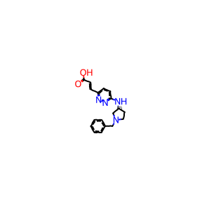 O=C(O)C=Cc1ccc(N[C@@H]2CCN(Cc3ccccc3)C2)nn1